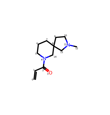 C=CC(=O)N1CCCC2(CCN(C)C2)C1